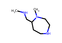 CNCC1CCNCCN1C